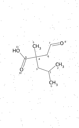 CC(C)CC(C)(CC=O)C(=O)O